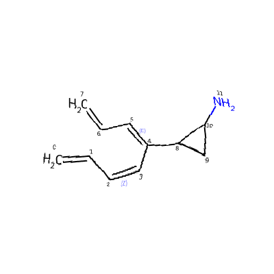 C=C/C=C\C(=C/C=C)C1CC1N